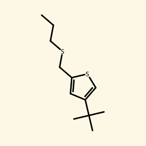 CCCSCc1cc(C(C)(C)C)cs1